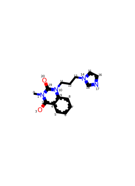 Cn1c(=O)c2ccccc2n(CCCn2ccnc2)c1=O